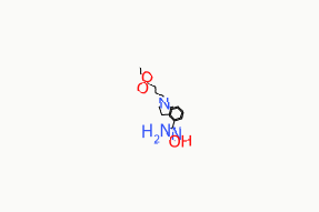 CCOC(=O)CCCN1CCc2c(/C(N)=N/O)cccc21